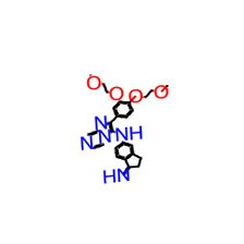 COCCOc1ccc(-c2nc3cnccn3c2Nc2ccc3c(c2)CCC3=N)cc1OCCOC